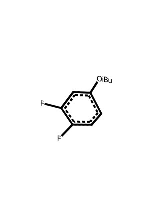 C[C](C)COc1ccc(F)c(F)c1